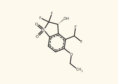 CCOc1ccc2c(c1C(F)F)[C@@H](O)C(F)(F)S2(=O)=O